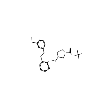 COc1cccc(CCc2ccccc2OCC2CCN(C(=O)OC(C)(C)C)C2)c1